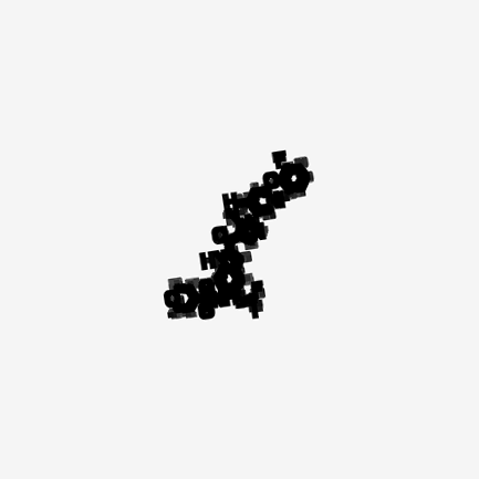 Cc1cc(Oc2c(F)cccc2F)ncc1-n1ncc(C(=O)c2cc3cc(SC(F)F)c(NS(=O)(=O)C4CCOCC4)cc3[nH]2)c1N